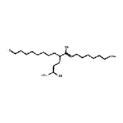 CCCCCCCCCCCCCCCCC=C(O)C(CCCCCCCCO)CCC(O)CCCCCCCC